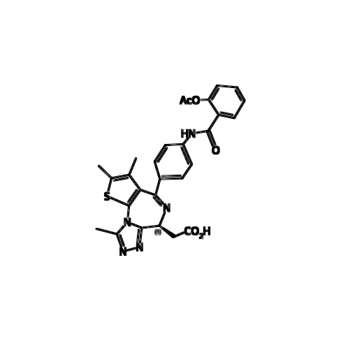 CC(=O)Oc1ccccc1C(=O)Nc1ccc(C2=N[C@@H](CC(=O)O)c3nnc(C)n3-c3sc(C)c(C)c32)cc1